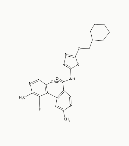 COc1cnc(C)c(F)c1-c1cc(C)ncc1C(=O)Nc1nnc(OCC2CCCCC2)s1